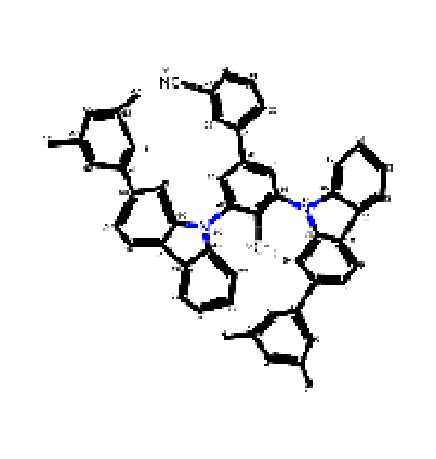 Cc1cc(C)cc(-c2ccc3c4ccccc4n(-c4cc(-c5cccc(C#N)c5)cc(-n5c6ccccc6c6ccc(-c7cc(C)cc(C)c7)cc65)c4C(F)(F)F)c3c2)c1